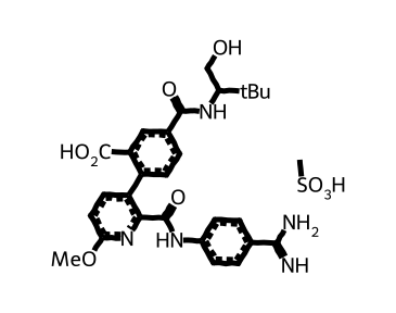 COc1ccc(-c2ccc(C(=O)NC(CO)C(C)(C)C)cc2C(=O)O)c(C(=O)Nc2ccc(C(=N)N)cc2)n1.CS(=O)(=O)O